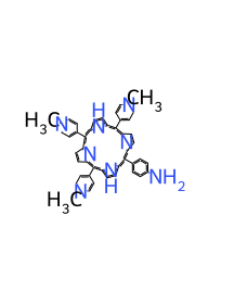 CN1C=CC(c2c3nc(c(C4=CCN(C)C=C4)c4ccc([nH]4)c(-c4ccc(N)cc4)c4nc(c(C5=CCN(C)C=C5)c5ccc2[nH]5)C=C4)C=C3)=CC1